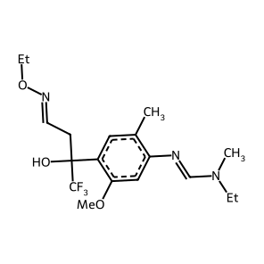 CCO/N=C/CC(O)(c1cc(C)c(/N=C/N(C)CC)cc1OC)C(F)(F)F